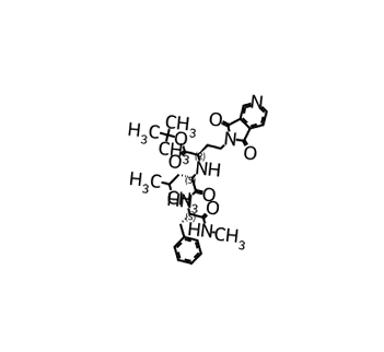 CNC(=O)[C@H](Cc1ccccc1)NC(=O)[C@H](CC(C)C)N[C@H](CCN1C(=O)c2ccncc2C1=O)C(=O)OC(C)(C)C